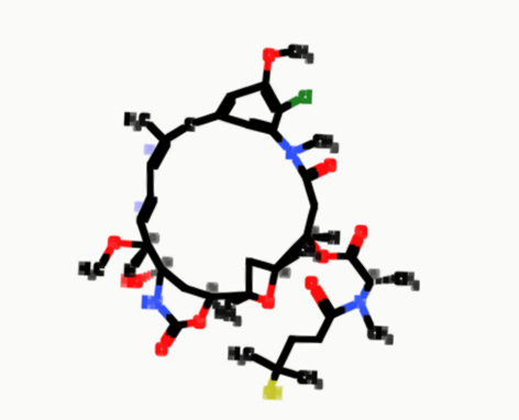 COc1cc2cc(c1Cl)N(C)C(=O)C[C@H](OC(=O)[C@H](C)N(C)C(=O)CCC(C)(C)S)[C@@]1(C)CC(C)(O1)[C@@H]1C[C@@](O)(NC(=O)O1)[C@H](OC)/C=C/C=C(/C)C2